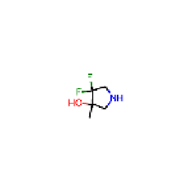 CC1(O)CNCC1(F)F